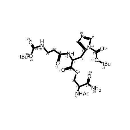 CC(=O)NC(CSC(=O)C(Cc1cncn1C(=O)OC(C)(C)C)NC(=O)CCNC(=O)OC(C)(C)C)C(N)=O